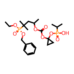 CCOP(=O)(OCc1ccccc1)C(C)(C)CC(C)OC(=O)OC1(OP(=O)(O)C(C)C)CC1